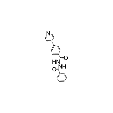 O=C(NNC(=O)c1ccc(-c2ccncc2)cc1)c1ccccc1